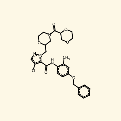 Cc1cc(OCc2ccccc2)ccc1NC(=O)c1c(Cl)cnn1CC1CN(C(=O)C2COCCO2)CCO1